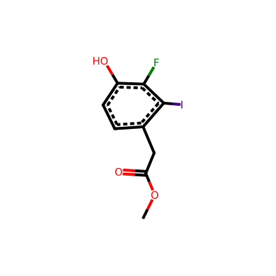 COC(=O)Cc1ccc(O)c(F)c1I